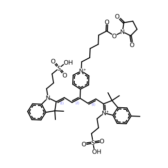 Cc1ccc2c(c1)C(C)(C)C(/C=C/C(=C/C=C1/N(CCCS(=O)(=O)O)c3ccccc3C1(C)C)c1cc[n+](CCCCCC(=O)ON3C(=O)CCC3=O)cc1)=[N+]2CCCS(=O)(=O)O